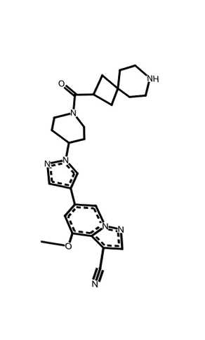 COc1cc(-c2cnn(C3CCN(C(=O)C4CC5(CCNCC5)C4)CC3)c2)cn2ncc(C#N)c12